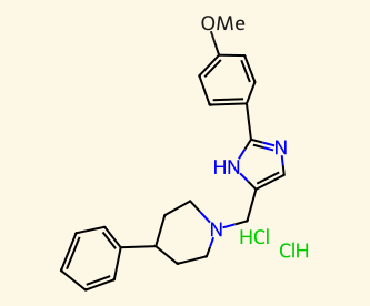 COc1ccc(-c2ncc(CN3CCC(c4ccccc4)CC3)[nH]2)cc1.Cl.Cl